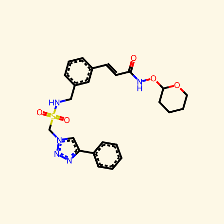 O=C(C=Cc1cccc(CNS(=O)(=O)Cn2cc(-c3ccccc3)nn2)c1)NOC1CCCCO1